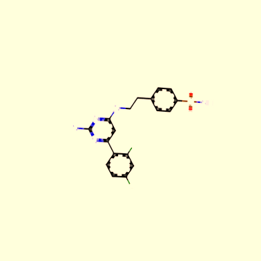 Nc1nc(NCCc2ccc(S(N)(=O)=O)cc2)cc(-c2ccc(F)cc2Cl)n1